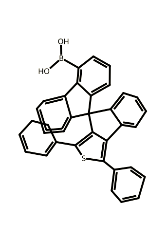 OB(O)c1cccc2c1C1=CC=C=C=C1C21c2ccccc2-c2c(-c3ccccc3)sc(C3=CC=CCC3)c21